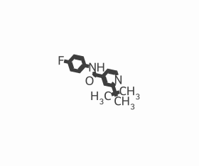 CC(C)(C)c1cc(C(=O)Nc2ccc(F)cc2)ccn1